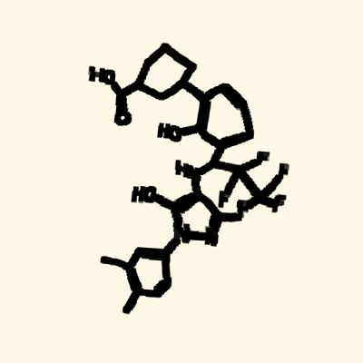 Cc1ccc(-n2nc(C)c(NC(c3cccc(C4CCCC(C(=O)O)C4)c3O)C(F)(F)C(F)(F)F)c2O)cc1C